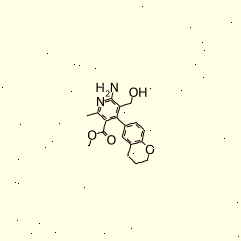 COC(=O)c1c(C)nc(N)c(CO)c1-c1ccc2c(c1)CCCO2